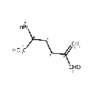 C=C(C=O)CCC(CCC)C(=O)O